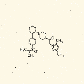 Cc1cc(C)n(CC(=O)N2CCN(c3ccccc3-c3ccc([S+]([O-])N(C)C)cc3)CC2)n1